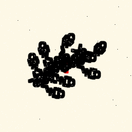 CCO[Si](CCCN1CCOCC1)(OCC)O[Si](CCCN1CCOCC1)(OCC)O[Si](CCCN1CCOCC1)(OCC)O[Si](CCCN1CCOCC1)(OCC)O[Si](CCCN1CCOCC1)(OCC)O[Si](CCCN1CCOCC1)(OCC)O[Si](CCCN1CCOCC1)(OCC)O[Si](CCCN1CCOCC1)(OCC)OCC